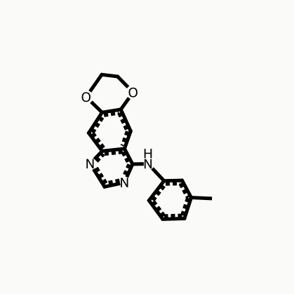 Cc1cccc(Nc2ncnc3cc4c(cc23)OCCO4)c1